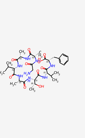 CC(C)[C@H](NC(=O)[C@H](C)NC(=O)[C@H](C)NC(=O)CN)C(=O)N[C@@H](C)C(=O)N[C@H](C(=O)N[C@H](C(=O)N[C@@H](Cc1ccccc1)C(=O)O)C(C)C)[C@@H](C)O